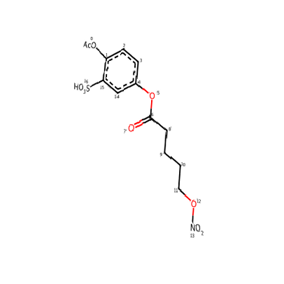 CC(=O)Oc1ccc(OC(=O)CCCCO[N+](=O)[O-])cc1S(=O)(=O)O